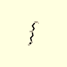 NCCNCCN=O